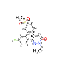 CCn1nc(-c2ccc(F)cc2)c(-c2ccc(S(C)(=O)=O)cc2)cc1=O